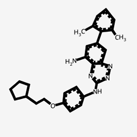 Cc1cccc(C)c1-c1cc(N)c2nc(Nc3ccc(OCCC4CCCC4)cc3)nnc2c1